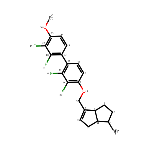 CCCC1CCC2C(COc3ccc(-c4ccc(OCC)c(F)c4F)c(F)c3F)=CCC12